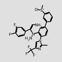 Cc1nc(C(F)(F)F)cn1-c1ccc(-c2cccc([S+](C)[O-])c2)cc1N(N)/C(=C\N)c1ccc(F)c(F)c1